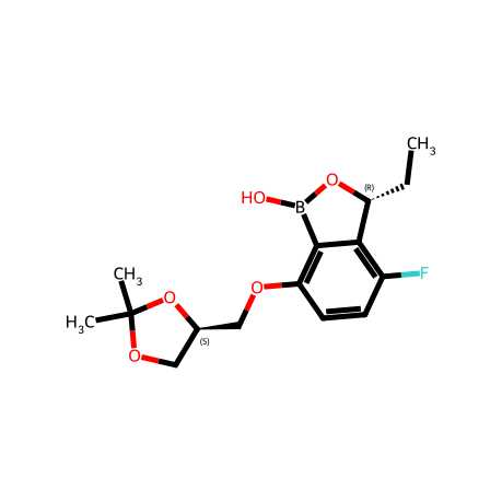 CC[C@H]1OB(O)c2c(OC[C@H]3COC(C)(C)O3)ccc(F)c21